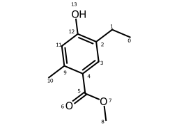 CCc1cc(C(=O)OC)c(C)cc1O